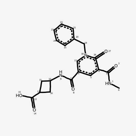 CNC(=O)c1cc(C(=O)NC2CC(C(=O)O)C2)cn(Cc2ccccc2)c1=O